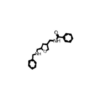 O=C(NCC1COC(CNCc2ccccc2)C1)c1ccccc1